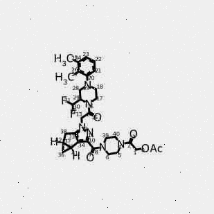 CC(=O)OCC(=O)N1CCN(C(=O)c2nn(CC(=O)N3CCN(c4cccc(C)c4C)CC3C(F)F)c3c2[C@@H]2C[C@@H]2C3)CC1